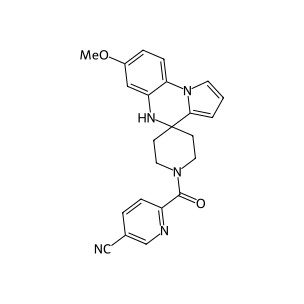 COc1ccc2c(c1)NC1(CCN(C(=O)c3ccc(C#N)cn3)CC1)c1cccn1-2